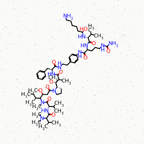 CC[C@H](C)C(C(CC(=O)N1CCC[C@H]1[C@H](OC)C(C)C(=O)N[C@@H](Cc1ccccc1)C(=O)NCCc1ccc(NC(=O)C(CCCNC(N)=O)NC(=O)[C@H](NC(O)CCCCCN)C(C)C)cc1)OC)N(C)C(=O)[C@@H](NC(=O)C(C(C)C)N(C)C)C(C)C